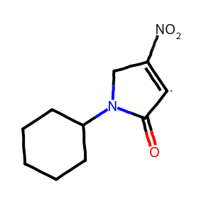 O=C1[C]=C([N+](=O)[O-])CN1C1CCCCC1